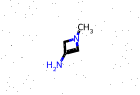 CN1C=C(N)C1